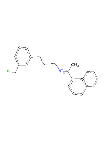 C/C(=N\CCCc1cccc(CF)c1)c1cccc2ccccc12